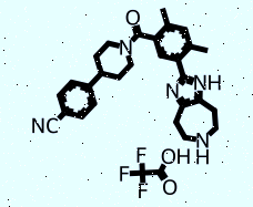 Cc1cc(C)c(-c2nc3c([nH]2)CCNCC3)cc1C(=O)N1CCC(c2ccc(C#N)cc2)CC1.O=C(O)C(F)(F)F